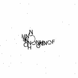 O=C(Nc1ccc2cc1CCc1cncc(c1)Nc1ncc(Cl)c(n1)N2)N1CCN(c2ccc(F)cc2)CC1